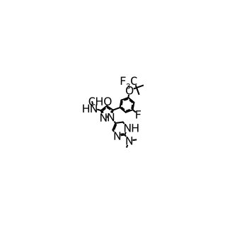 CN(C)C1=NC=C(n2nc(NC=O)cc2-c2cc(F)cc(OC(C)(C)C(F)(F)F)c2)CN1